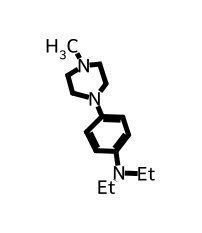 CCN(CC)c1ccc(N2CCN(C)CC2)cc1